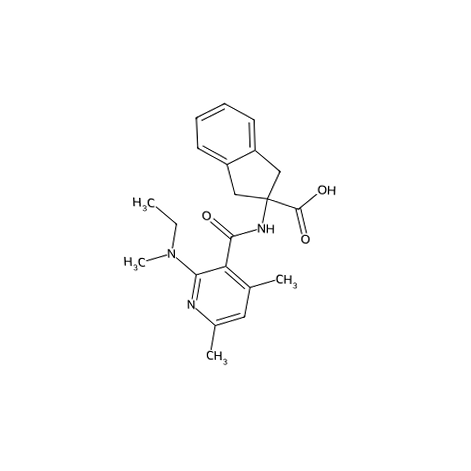 CCN(C)c1nc(C)cc(C)c1C(=O)NC1(C(=O)O)Cc2ccccc2C1